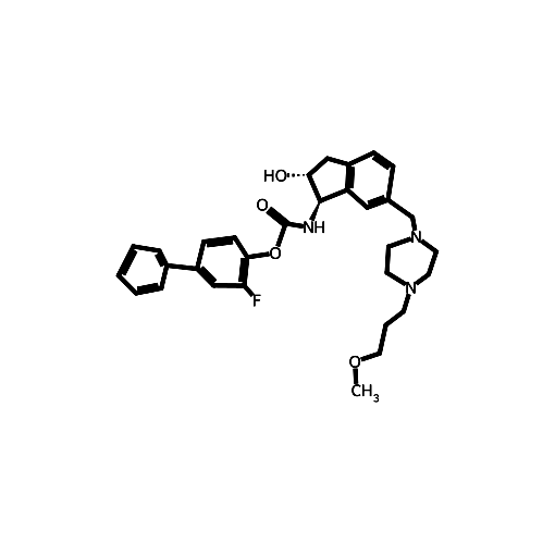 COCCCN1CCN(Cc2ccc3c(c2)[C@@H](NC(=O)Oc2ccc(-c4ccccc4)cc2F)[C@H](O)C3)CC1